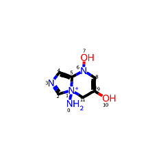 N[N+]12C=NC=C1N(O)C=C(O)C2